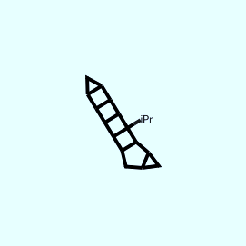 CC(C)C12C3C4CC4CC3C1C1C3C4CC4C3C12